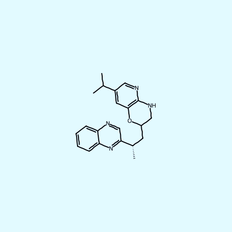 CC(C)c1cnc2c(c1)OC(C[C@H](C)c1cnc3ccccc3n1)CN2